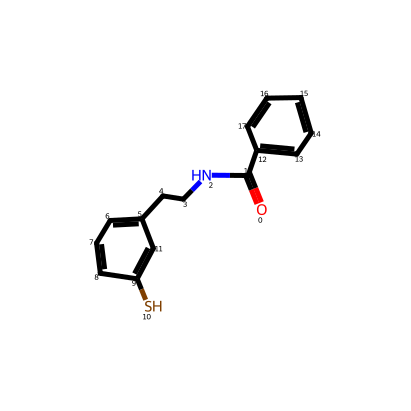 O=C(NCCc1cccc(S)c1)c1ccccc1